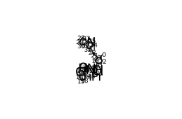 Cc1ccc(C(=O)NNC(=O)c2c(Cl)cccc2C(C)C)cc1C#Cc1cnc2ccccc2c1